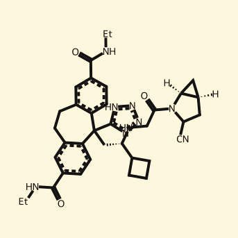 CCNC(=O)c1ccc2c(c1)CCc1cc(C(=O)NCC)ccc1C2(C[C@H](NCC(=O)N1C(C#N)C[C@@H]2C[C@@H]21)C1CCC1)c1nnn[nH]1